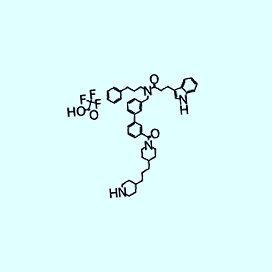 O=C(CCc1c[nH]c2ccccc12)N(CCCc1ccccc1)Cc1cccc(-c2cccc(C(=O)N3CCC(CCCC4CCNCC4)CC3)c2)c1.O=C(O)C(F)(F)F